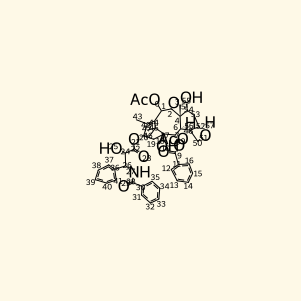 CC(=O)OC1C(=O)[C@@]2(C)[C@H]([C@H](OC(=O)c3ccccc3)[C@]3(O)C[C@H](OC(=O)[C@H](O)C(NC(=O)c4ccccc4)c4ccccc4)C(C)=C1C3(C)C)[C@]1(OC(C)=O)CO[C@@H]1C[C@@H]2O